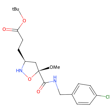 CO[C@]1(C(=O)NCc2ccc(Cl)cc2)C[C@H](CCC(=O)OC(C)(C)C)NO1